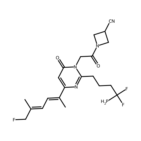 C/C(=C\C=C(/C)c1cc(=O)n(CC(=O)N2CC(C#N)C2)c(CCCC(F)(F)P)n1)CF